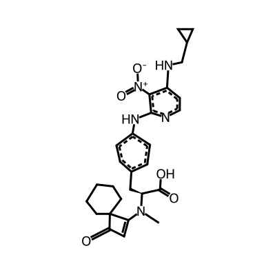 CN(C1=CC(=O)C12CCCCC2)[C@@H](Cc1ccc(Nc2nccc(NCC3CC3)c2[N+](=O)[O-])cc1)C(=O)O